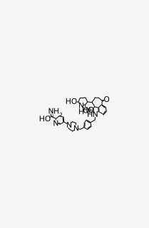 N[C@@H](O)C1CC=C(N2CCN(Cc3ccc(CNc4cccc5c4C(O)C(C4CCC(O)NC4O)CCC5=O)cc3)CC2)C=N1